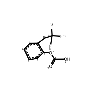 O=C(O)Oc1ccccc1CC(F)(F)F